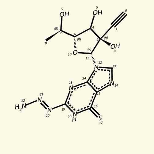 C#C[C@@]1(O)C(O)[C@@H]([C@@H](C)O)O[C@H]1n1cnc2c(=S)[nH]c(N=NN)nc21